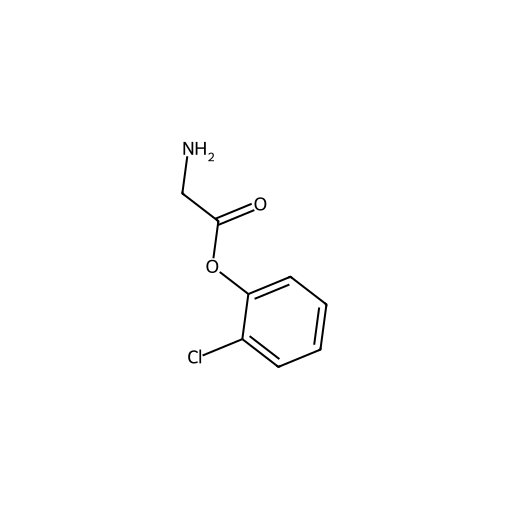 NCC(=O)Oc1ccccc1Cl